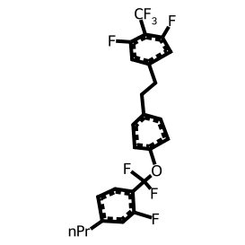 CCCc1ccc(C(F)(F)Oc2ccc(CCc3cc(F)c(C(F)(F)F)c(F)c3)cc2)c(F)c1